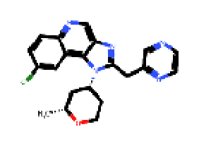 C[C@@H]1C[C@H](n2c(Cc3cnccn3)nc3cnc4ccc(Cl)cc4c32)CCO1